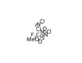 COC(=O)c1sc2nc(Cl)c(=O)n(-c3ccc4ccn(-c5ccccc5)c4c3)c2c1C(F)(F)F